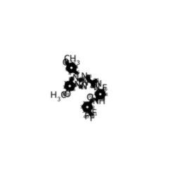 COc1ccc(CN(Cc2ccc(OC)cc2)c2ncnn3c(-c4cnn(-c5cc(NC(=O)c6cccc(C(F)(F)F)c6)ccc5F)c4)cnc23)cc1